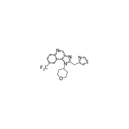 FC(F)(F)c1ccc2ncc3nc(Cc4cscn4)n(C4CCOCC4)c3c2c1